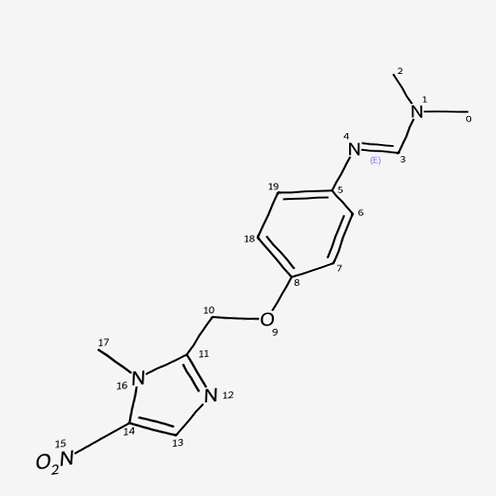 CN(C)/C=N/c1ccc(OCc2ncc([N+](=O)[O-])n2C)cc1